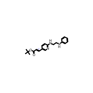 CC(C)(C)OC(=O)/C=C/c1ccc(NCCNc2ccccc2)nc1